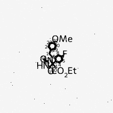 CCOC(=O)CC1(c2ccc(F)cc2)C(=O)NC(=O)N1CCc1ccc(OC)cc1